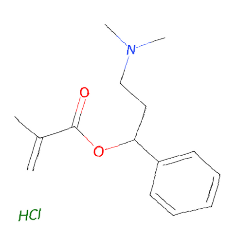 C=C(C)C(=O)OC(CCN(C)C)c1ccccc1.Cl